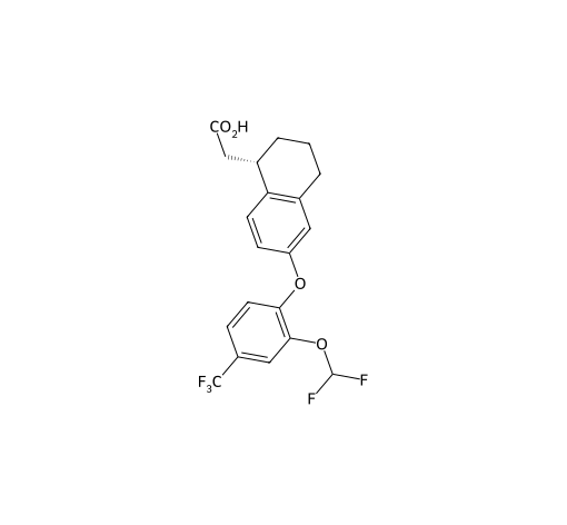 O=C(O)C[C@@H]1CCCc2cc(Oc3ccc(C(F)(F)F)cc3OC(F)F)ccc21